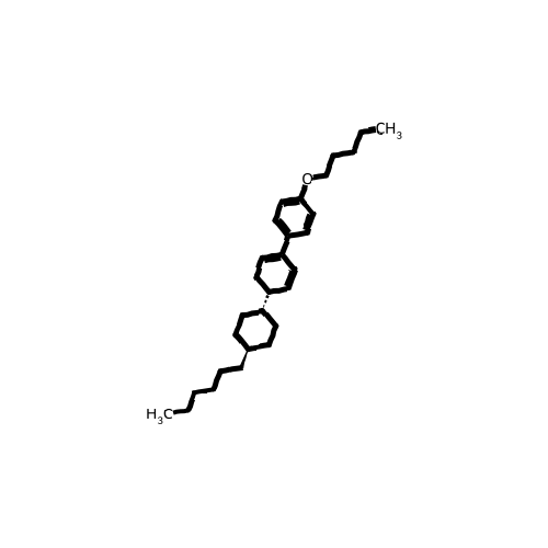 CCCCCC[C@H]1CC[C@H](C2C=CC(c3ccc(OCCCCC)cc3)=CC2)CC1